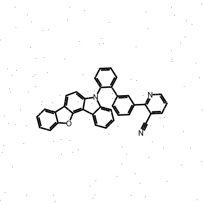 N#Cc1cccnc1-c1cccc(-c2ccccc2-n2c3ccccc3c3c4oc5ccccc5c4ccc32)c1